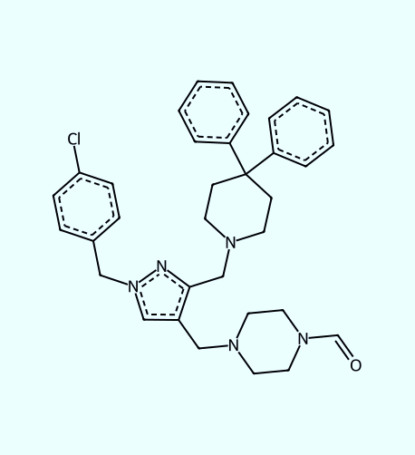 O=CN1CCN(Cc2cn(Cc3ccc(Cl)cc3)nc2CN2CCC(c3ccccc3)(c3ccccc3)CC2)CC1